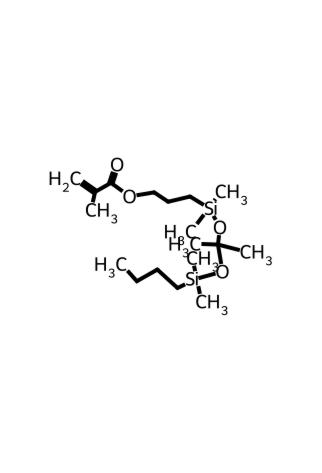 C=C(C)C(=O)OCCC[Si](C)(C)OC(C)(C)O[Si](C)(C)CCCC